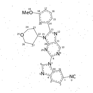 [C-]#[N+]c1ccc2ncn(-c3ncc4nc(-c5cccc(OC)c5)n(C5CCOCC5)c4n3)c2c1